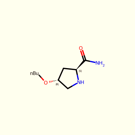 CCCCO[C@H]1CN[C@H](C(N)=O)C1